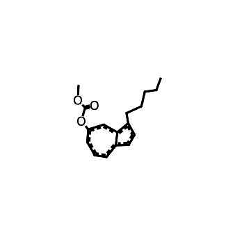 CCCCCc1ccc2cccc(OC(=O)OC)cc1-2